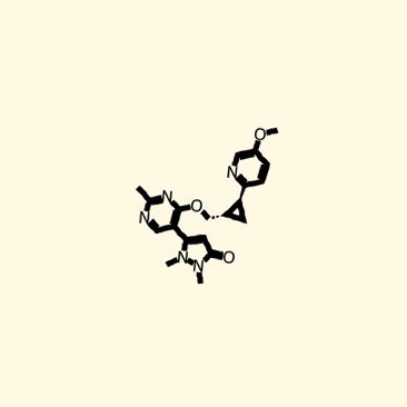 COc1ccc([C@H]2C[C@@H]2COc2nc(C)ncc2-c2cc(=O)n(C)n2C)nc1